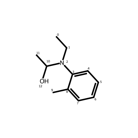 CCN(c1ccccc1C)C(C)O